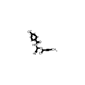 CC#CC(Cl)OC(C#N)NC(=O)c1ccc(Cl)cc1